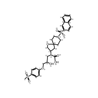 CS(=O)(=O)c1ccc(OCC(O)CN(C(=O)O)C2COC3(CCN(S(=O)(=O)c4ccc5ccccc5c4)CC3)C2)cc1